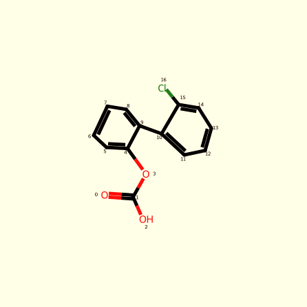 O=C(O)Oc1ccccc1-c1ccccc1Cl